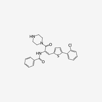 O=C(N/C(=C/c1ccc(-c2ccccc2Cl)s1)C(=O)N1CCNCC1)c1ccccc1